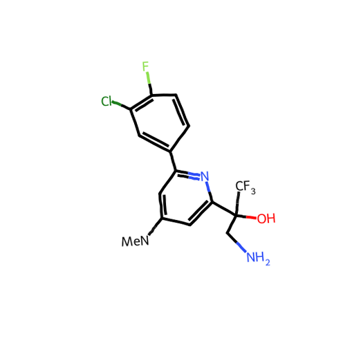 CNc1cc(-c2ccc(F)c(Cl)c2)nc(C(O)(CN)C(F)(F)F)c1